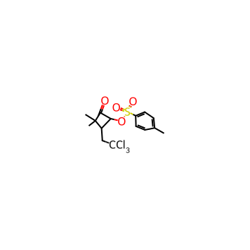 Cc1ccc(S(=O)(=O)OC2C(=O)C(C)(C)C2CC(Cl)(Cl)Cl)cc1